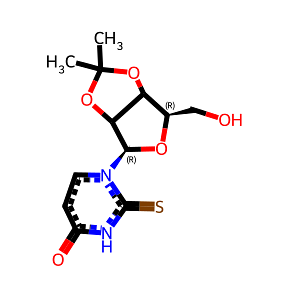 CC1(C)OC2C(O1)[C@@H](CO)O[C@H]2n1ccc(=O)[nH]c1=S